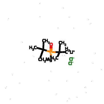 CC(C)(C)[P](=O)([Mg+])C(C)(C)C.[Cl-].[Cl-].[Li+]